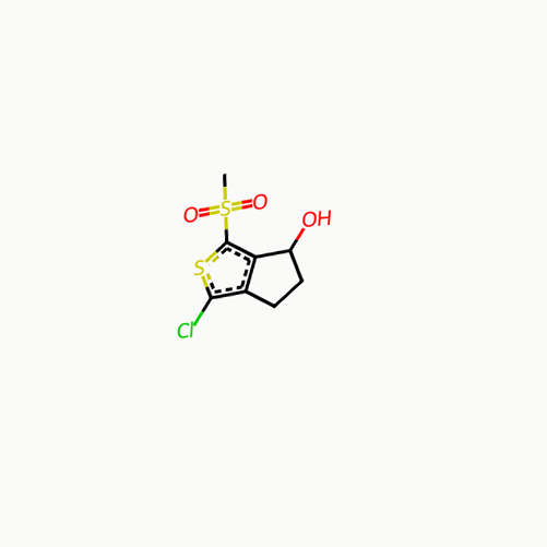 CS(=O)(=O)c1sc(Cl)c2c1C(O)CC2